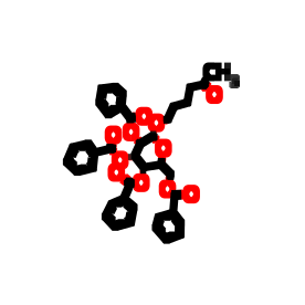 CC(=O)CCCCO[C@@H]1OC(COC(=O)c2ccccc2)[C@H](OC(=O)c2ccccc2)[C@H](OC(=O)c2ccccc2)C1OC(=O)c1ccccc1